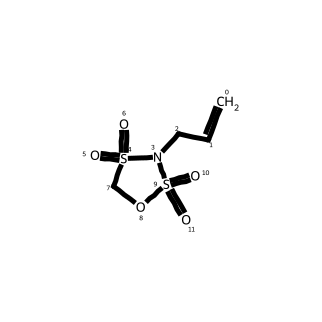 C=CCN1S(=O)(=O)COS1(=O)=O